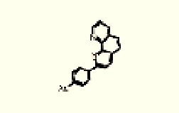 CC(=O)c1ccc(-c2ccc3ccc4cccnc4c3n2)cc1